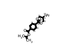 C=C(C)OC(=O)c1ccc(C23OCC(CCC)(CO2)CO3)cc1